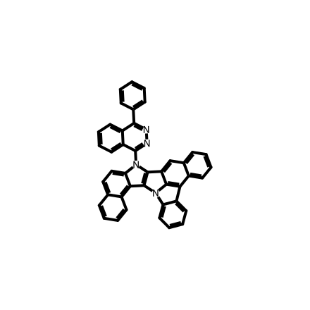 c1ccc(-c2nnc(-n3c4ccc5ccccc5c4c4c3c3cc5ccccc5c5c6ccccc6n4c35)c3ccccc23)cc1